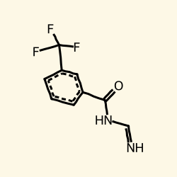 N=CNC(=O)c1cccc(C(F)(F)F)c1